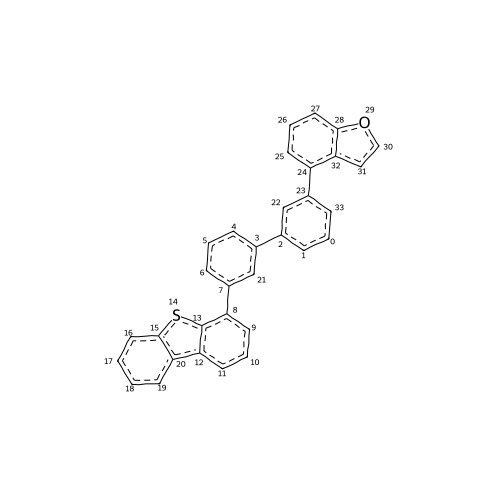 c1cc(-c2cccc(-c3cccc4c3sc3ccccc34)c2)cc(-c2cccc3occc23)c1